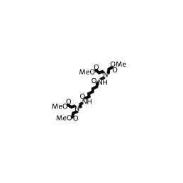 COC(=O)CCN(CCNC(=O)CCCCCC(=O)NCCN(CCC(=O)OC)CCC(=O)OC)CCC(=O)OC